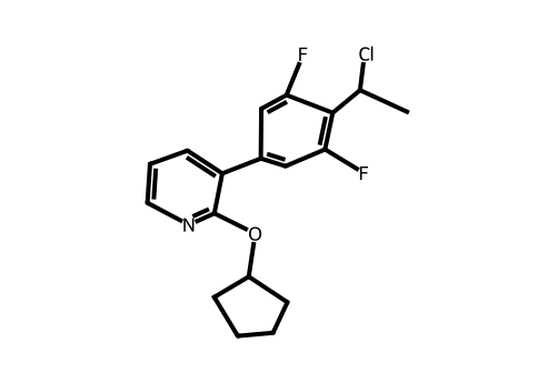 CC(Cl)c1c(F)cc(-c2cccnc2OC2CCCC2)cc1F